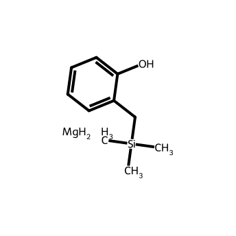 C[Si](C)(C)Cc1ccccc1O.[MgH2]